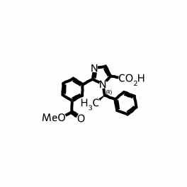 COC(=O)c1cccc(-c2ncc(C(=O)O)n2[C@H](C)c2ccccc2)c1